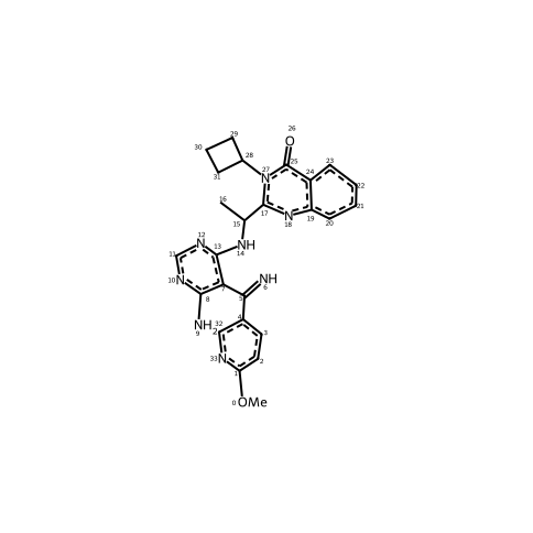 COc1ccc(C(=N)c2c(N)ncnc2NC(C)c2nc3ccccc3c(=O)n2C2CCC2)cn1